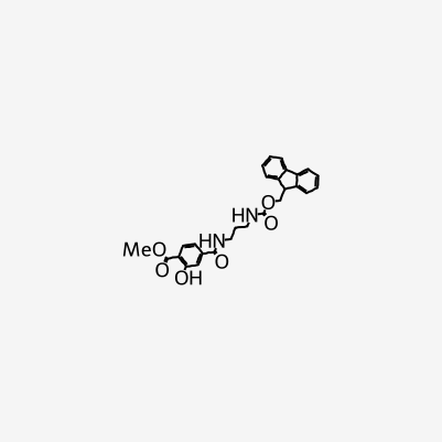 COC(=O)c1ccc(C(=O)NCCCNC(=O)OCC2c3ccccc3-c3ccccc32)cc1O